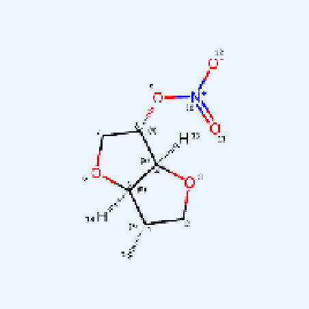 C[C@H]1CO[C@H]2[C@@H]1OC[C@@H]2O[N+](=O)[O-]